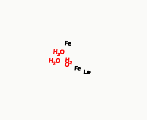 O.O.O.[Fe].[Fe].[La]